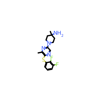 Cc1nc(N2CCC(C)(N)CC2)cnc1Sc1cccc(F)c1F